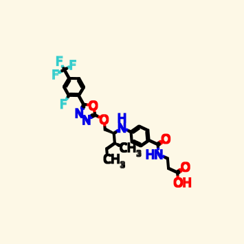 CC[C@H](C)[C@@H](COc1nnc(-c2ccc(C(F)(F)F)cc2F)o1)Nc1ccc(C(=O)NCCC(=O)O)cc1